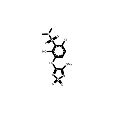 COC1=NS(=O)(=O)N=C1Nc1ccc(Cl)c(S(=O)(=O)N(C)C)c1O